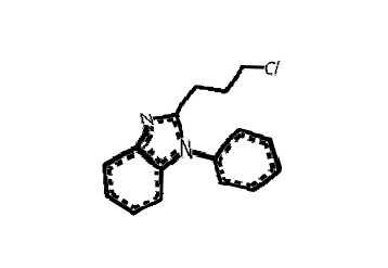 ClCCCc1nc2ccccc2n1-c1ccccc1